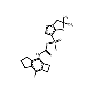 CC1(C)Cn2ncc([S@](N)(=O)=NC(=O)Nc3c4c(c(F)c5c3CC5)CCC4)c2O1